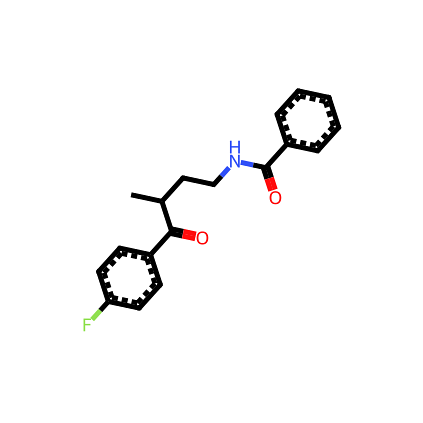 CC(CCNC(=O)c1ccccc1)C(=O)c1ccc(F)cc1